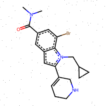 CN(C)C(=O)c1cc(Br)c2c(c1)cc(C1=CCCNC1)n2CC1CC1